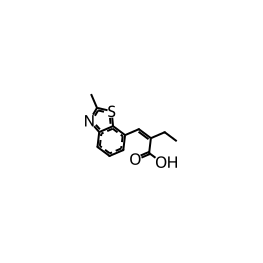 CCC(=Cc1cccc2nc(C)sc12)C(=O)O